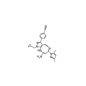 Cc1cc(C)n(-c2cc(N)[nH]c3c(ccn2)c(-c2ccc(C#N)cc2)nn3CC2CC2)n1